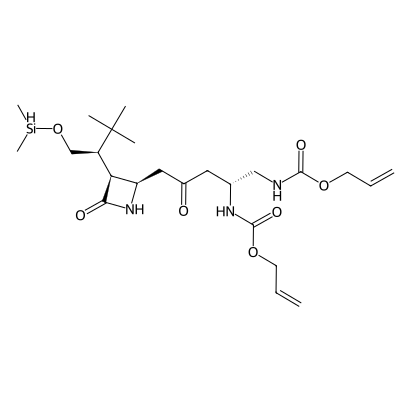 C=CCOC(=O)NC[C@@H](CC(=O)C[C@H]1NC(=O)[C@H]1[C@@H](CO[SiH](C)C)C(C)(C)C)NC(=O)OCC=C